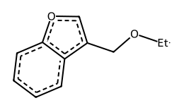 C[CH]OCc1coc2ccccc12